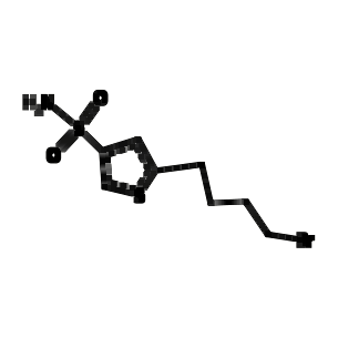 NS(=O)(=O)c1csc(CCCCBr)c1